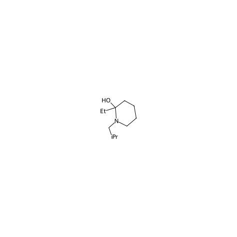 CCC1(O)CCCCN1CC(C)C